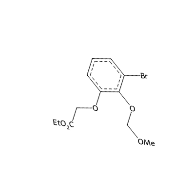 CCOC(=O)COc1cccc(Br)c1OCOC